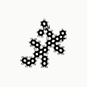 CC1(C)c2ccccc2-c2cc3c(-c4ccc(-c5nc6ccccc6n5-c5ccccc5)cc4)c4ccc(-c5ccc6c(-c7ccc8ccccc8c7)c7cc(-c8ccc9ccc%10ccccc%10c9c8)ccc7c(-c7ccc8ccccc8c7)c6c5)cc4c(-c4ccc5ccccc5c4)c3cc21